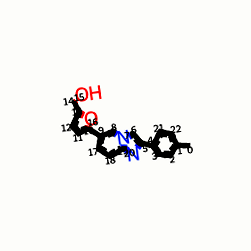 Cc1ccc(-c2cn3cc(-c4ccc(CO)o4)ccc3n2)cc1